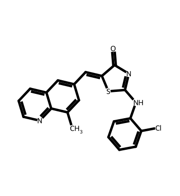 Cc1cc(/C=C2\SC(Nc3ccccc3Cl)=NC2=O)cc2cccnc12